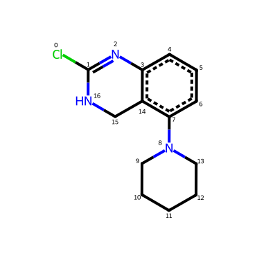 ClC1=Nc2cccc(N3CCCCC3)c2CN1